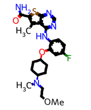 COCCN(C)[C@H]1CC[C@@H](Oc2cc(F)ccc2Nc2ncnc3sc(C(N)=O)c(C)c23)CC1